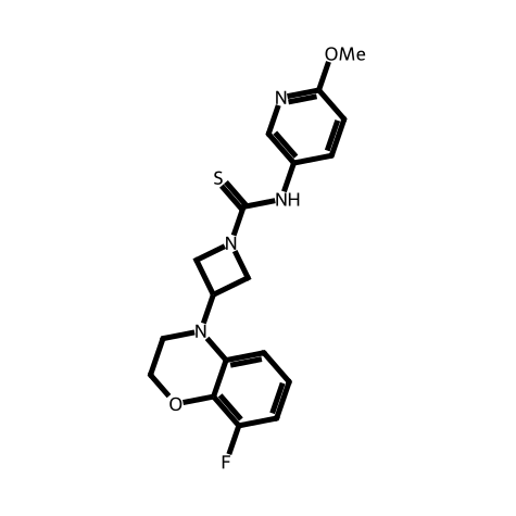 COc1ccc(NC(=S)N2CC(N3CCOc4c(F)cccc43)C2)cn1